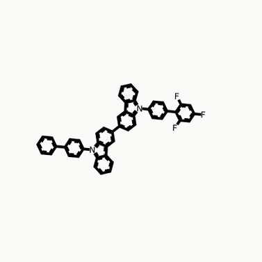 Fc1cc(F)c(-c2ccc(-n3c4ccccc4c4cc(-c5ccc6c(c5)c5ccccc5n6-c5ccc(-c6ccccc6)cc5)ccc43)cc2)c(F)c1